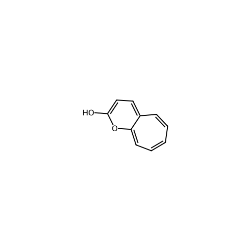 OC1=CC=C2C=CC=CC=C2O1